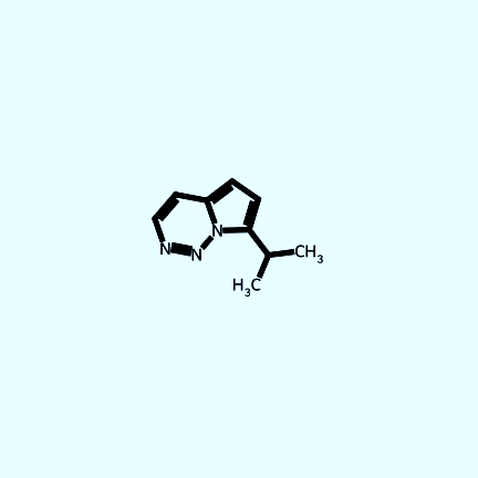 CC(C)c1ccc2ccnnn12